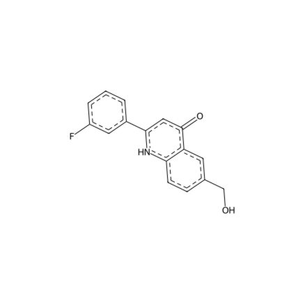 O=c1cc(-c2cccc(F)c2)[nH]c2ccc(CO)cc12